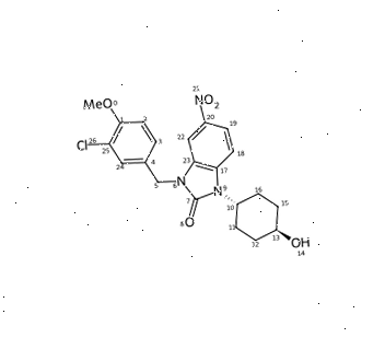 COc1ccc(Cn2c(=O)n([C@H]3CC[C@H](O)CC3)c3ccc([N+](=O)[O-])cc32)cc1Cl